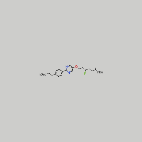 CCCCCCCCCCCCc1ccc(-c2ncc(OCCC(F)CCC(C)CCCC)cn2)cc1